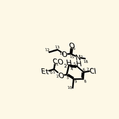 CCC(Oc1ccc(Cl)cc1C)C(=O)O.CCOC(=O)NC